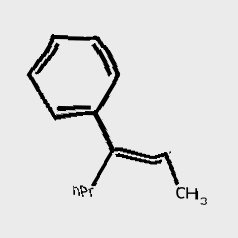 C[C]=C(CCC)c1ccccc1